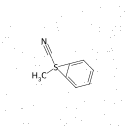 CS1(C#N)c2ccccc21